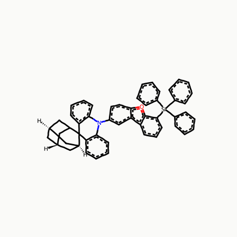 c1ccc([Si](c2ccccc2)(c2ccccc2)c2cccc3c2oc2ccc(N4c5ccccc5C5(c6ccccc64)C4C[C@H]6C[C@@H](C4)C[C@@H]5C6)cc23)cc1